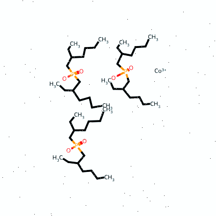 CCCCC(CC)CP(=O)([O-])CC(CC)CCCC.CCCCC(CC)CP(=O)([O-])CC(CC)CCCC.CCCCC(CC)CP(=O)([O-])CC(CC)CCCC.[Co+3]